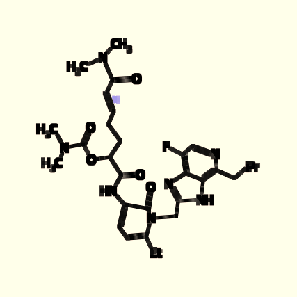 CCc1ccc(NC(=O)C(CC/C=C/C(=O)N(C)C)OC(=O)N(C)C)c(=O)n1Cc1nc2c(F)cnc(CC(C)C)c2[nH]1